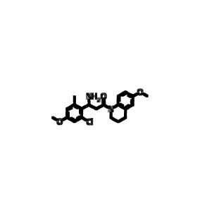 COc1cc(C)c(C(N)CC(=O)N2CCCc3cc(OC)ccc32)c(Cl)c1